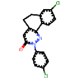 O=c1cc2c(nn1-c1ccc(Cl)cc1)-c1ccc(Cl)cc1CC2